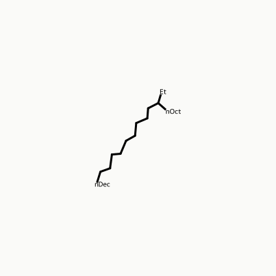 [CH2]CCCCCCCCCCCCCCCCCCC(CC)CCCCCCC[CH2]